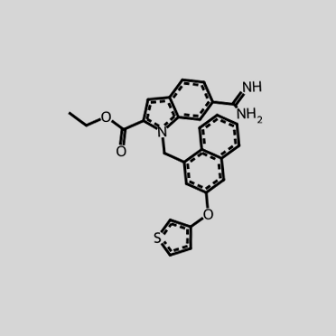 CCOC(=O)c1cc2ccc(C(=N)N)cc2n1Cc1cc(Oc2ccsc2)cc2ccccc12